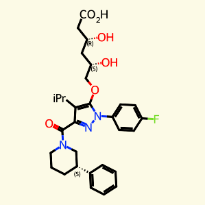 CC(C)c1c(C(=O)N2CCC[C@@H](c3ccccc3)C2)nn(-c2ccc(F)cc2)c1OC[C@@H](O)C[C@@H](O)CC(=O)O